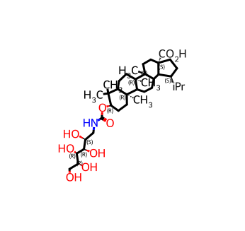 CC(C)[C@@H]1CC[C@]2(C(=O)O)CC[C@]3(C)C(CCC4[C@@]5(C)CC[C@@H](OC(=O)NC[C@H](O)[C@@H](O)[C@H](O)[C@H](O)CO)C(C)(C)C5CC[C@]43C)C12